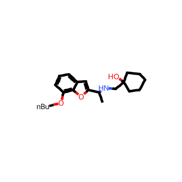 CCCCOc1cccc2cc(C(C)NCC3(O)CCCCC3)oc12